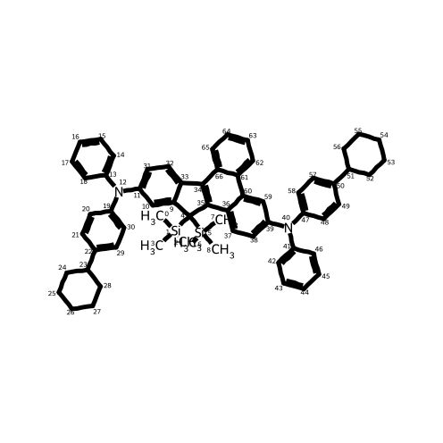 C[Si](C)(C)C1([Si](C)(C)C)c2cc(N(c3ccccc3)c3ccc(C4CCCCC4)cc3)ccc2-c2c1c1ccc(N(c3ccccc3)c3ccc(C4CCCCC4)cc3)cc1c1ccccc21